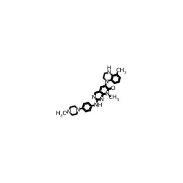 Cc1cccc2c1NCCN2c1cc2cnc(Nc3ccc(N4CCN(C)CC4)cc3)nc2n(C)c1=O